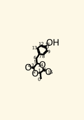 CC1OC(=O)C(Cc2ccc(O)cc2)OC1=O